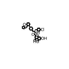 O=C(N[C@@H](C=C1CCC(c2ccccc2CN2CCCC2=O)CC1)Cc1ccc(Cl)cc1)c1cc(=O)c2c(O)cc(O)cc2o1